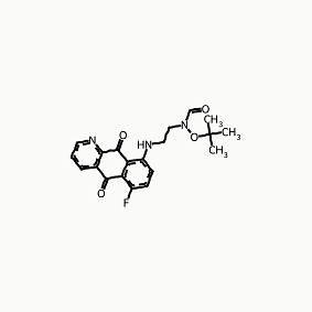 CC(C)(C)ON(C=O)CCNc1ccc(F)c2c1C(=O)c1ncccc1C2=O